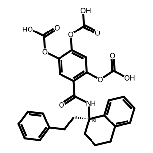 O=C(O)Oc1cc(OC(=O)O)c(C(=O)N[C@]2(CCc3ccccc3)CCCc3ccccc32)cc1OC(=O)O